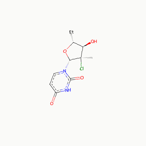 CC[C@H]1O[C@@H](n2ccc(=O)[nH]c2=O)[C@](C)(Cl)[C@@H]1O